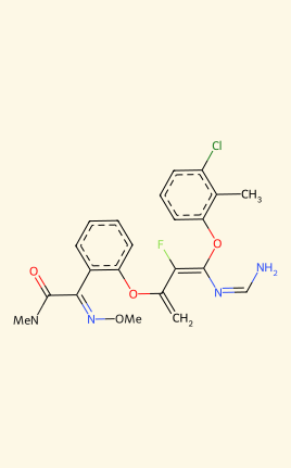 C=C(Oc1ccccc1/C(=N\OC)C(=O)NC)/C(F)=C(\N=C/N)Oc1cccc(Cl)c1C